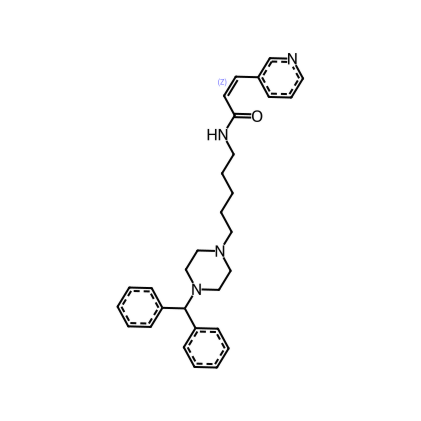 O=C(/C=C\c1cccnc1)NCCCCCN1CCN(C(c2ccccc2)c2ccccc2)CC1